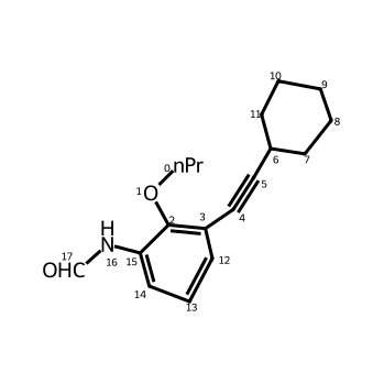 CCCOc1c(C#CC2CCCCC2)cccc1NC=O